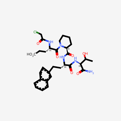 CC(O)[C@H](NC(=O)[C@H](CCc1ccc2ccccc2c1)NC(=O)[C@@H]1CCCCN1C(=O)[C@H](CCC(=O)O)NC(=O)CCl)C(N)=O